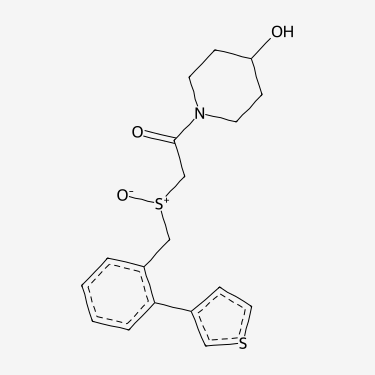 O=C(C[S+]([O-])Cc1ccccc1-c1ccsc1)N1CCC(O)CC1